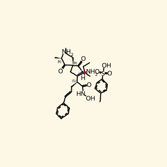 CCC[C@](C/C(=C(/C)CC)[C@H](CC=Cc1ccccc1)C(=O)NO)(C(=O)NN)C(=O)[C@@H](C)N.Cc1ccc(S(=O)(=O)O)cc1